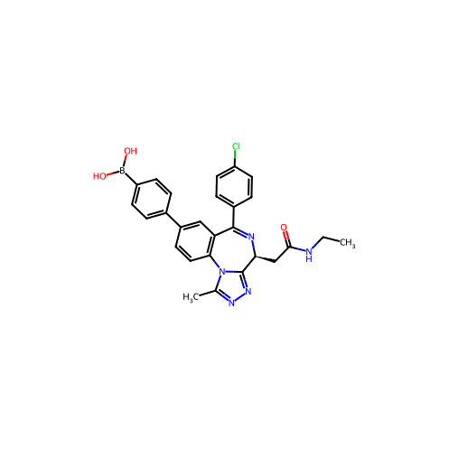 CCNC(=O)C[C@@H]1N=C(c2ccc(Cl)cc2)c2cc(-c3ccc(B(O)O)cc3)ccc2-n2c(C)nnc21